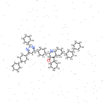 c1ccc(-c2ccc(-c3cc(-c4ccc(-c5nc6ccc(-c7cccc(-c8ccccc8)c7)cc6c6c5oc5ccccc56)cc4)nc(-c4ccccc4)n3)cc2)cc1